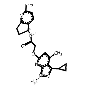 Cc1ccc2c(n1)CC[C@@H]2NC(=O)COc1cc(C)c2c(C3CC3)nn(C)c2n1